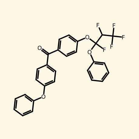 O=C(c1ccc(Oc2ccccc2)cc1)c1ccc(OC(F)(Oc2ccccc2)C(F)C(F)(F)F)cc1